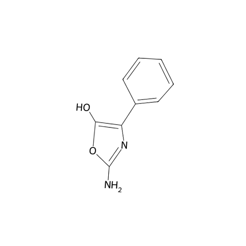 Nc1nc(-c2ccccc2)c(O)o1